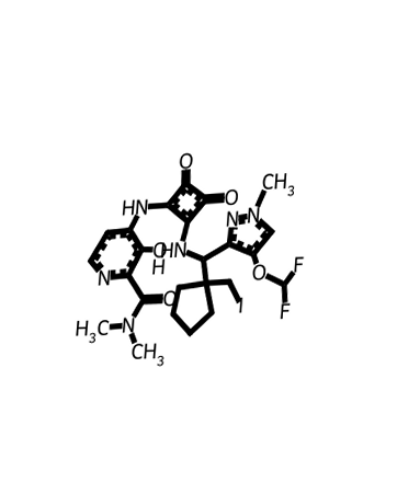 CN(C)C(=O)c1nccc(Nc2c(NC(c3nn(C)cc3OC(F)F)C3(CI)CCCC3)c(=O)c2=O)c1O